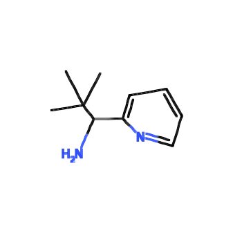 CC(C)(C)C(N)c1ccccn1